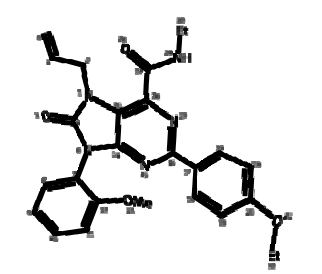 C=CCn1c(=O)n(-c2ccccc2OC)c2nc(-c3ccc(OCC)cc3)nc(C(=O)NCC)c21